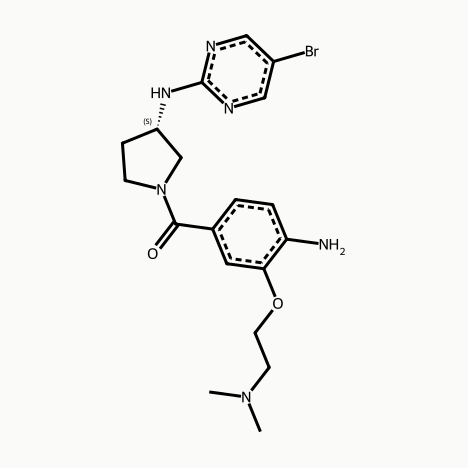 CN(C)CCOc1cc(C(=O)N2CC[C@H](Nc3ncc(Br)cn3)C2)ccc1N